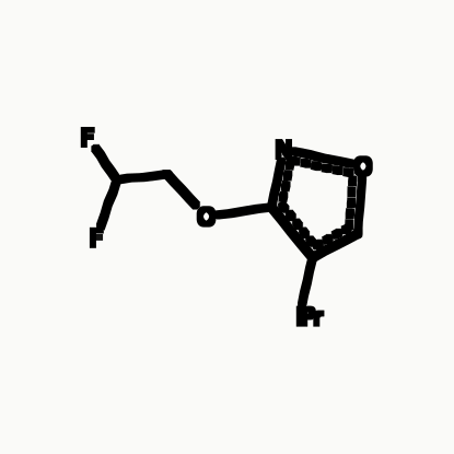 CC(C)c1conc1OCC(F)F